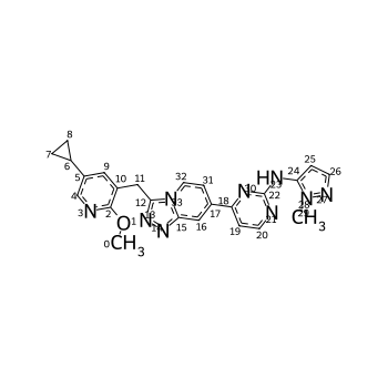 COc1ncc(C2CC2)cc1Cc1nnc2cc(-c3ccnc(Nc4ccnn4C)n3)ccn12